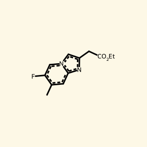 CCOC(=O)Cc1cn2cc(F)c(C)cc2n1